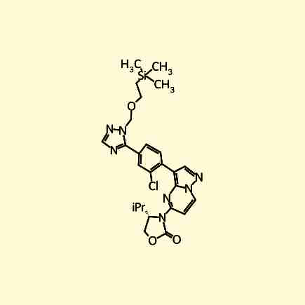 CC(C)[C@H]1COC(=O)N1c1ccn2ncc(-c3ccc(-c4ncnn4COCC[Si](C)(C)C)cc3Cl)c2n1